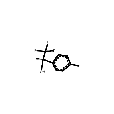 Cc1ccc([C@](C)(O)C(F)(F)F)cc1